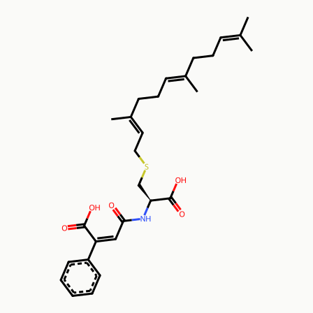 CC(C)=CCC/C(C)=C/CC/C(C)=C/CSC[C@H](NC(=O)/C=C(\C(=O)O)c1ccccc1)C(=O)O